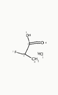 CC(F)C(=O)O.Cl